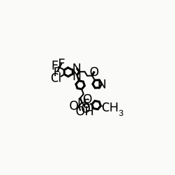 Cc1ccc(S(=O)(=O)N(CCc2ccc(-n3c(CCC(=O)c4cccnc4)nc4cc(C(F)(F)F)c(Cl)cc43)cc2)C(=O)O)cc1